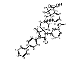 COc1ccnc(N2C(=O)N(c3ccc(-c4ccccc4)cc3)C(=O)C23CCN(CC2(C(C)(C)C)NC=CC=C2C(=O)O)CC3)n1